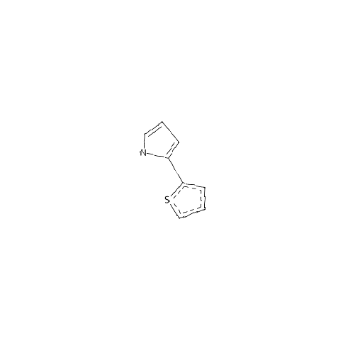 C1=C[N]C(c2cccs2)=C1